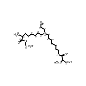 CCCCCCCCC(CCCCCCCC)C(=O)OCCCCCCCN(CCO)CCCCCCC(C)C(=O)OCCCCCCC